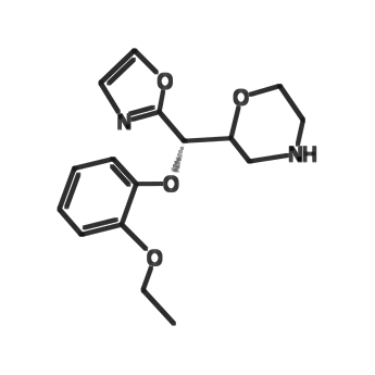 CCOc1ccccc1O[C@H](c1ncco1)C1CNCCO1